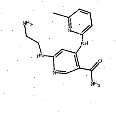 Cc1cccc(Nc2cc(NCCN)ncc2C(N)=O)n1